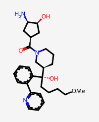 COCCCC[C@@](O)(c1ccccc1-c1ccccn1)[C@@H]1CCCN(C(=O)[C@H]2C[C@@H](N)[C@@H](O)C2)C1